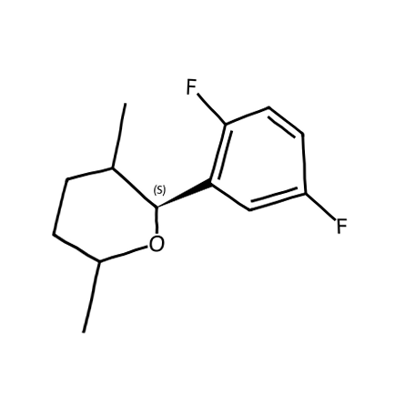 CC1CCC(C)[C@@H](c2cc(F)ccc2F)O1